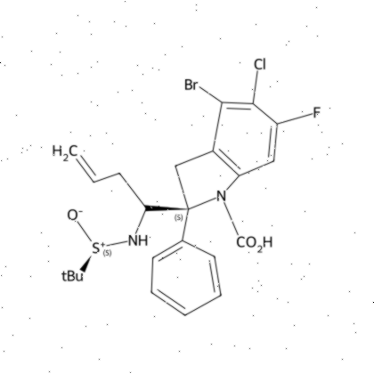 C=CCC(N[S@+]([O-])C(C)(C)C)[C@@]1(c2ccccc2)Cc2c(cc(F)c(Cl)c2Br)N1C(=O)O